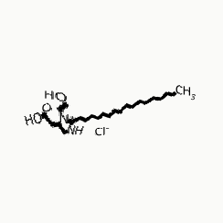 CCCCCCCCCCCCCCCCCC1=[N+](CCO)C(CC(=O)O)CN1.[Cl-]